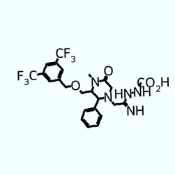 CN1C(=O)CN(CC(=N)NNC(=O)O)C(c2ccccc2)C1COCc1cc(C(F)(F)F)cc(C(F)(F)F)c1